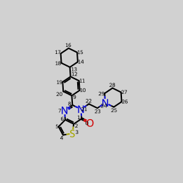 O=c1c2sccc2nc(-c2ccc(C3CCCCC3)cc2)n1CCN1CCCCC1